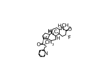 CN1C(=O)[C@H](F)C[C@]2(C)[C@H]3CC[C@]4(C)[C@@H](C(=O)Sc5ccccn5)CC[C@H]4[C@@H]3CC[C@@H]12